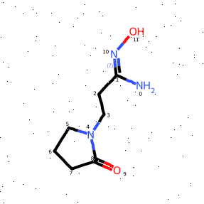 N/C(CCN1CCCC1=O)=N\O